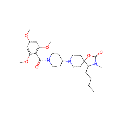 CCCCC1N(C)C(=O)OC12CCN(C1CCN(C(=O)c3c(OC)cc(OC)cc3OC)CC1)CC2